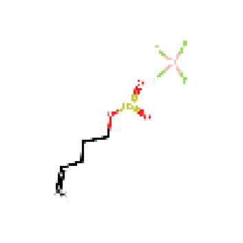 C=CCCCO[SH](=O)=O.F[B-](F)(F)F